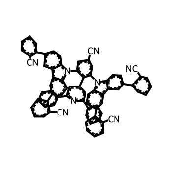 N#Cc1cc(-n2c3ccc(-c4ccccc4C#N)cc3c3cc(-c4ccccc4C#N)ccc32)c(-c2cc(-c3ccccc3)nc(-c3ccccc3)c2)c(-n2c3ccc(-c4ccccc4C#N)cc3c3cc(-c4ccccc4C#N)ccc32)c1